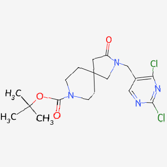 CC(C)(C)OC(=O)N1CCC2(CC1)CC(=O)N(Cc1cnc(Cl)nc1Cl)C2